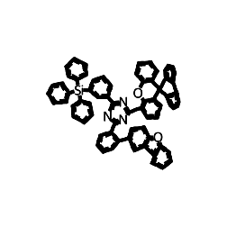 c1ccc([Si](c2ccccc2)(c2ccccc2)c2cccc(-c3nc(-c4ccccc4-c4ccc5oc6ccccc6c5c4)nc(-c4cccc5c4Oc4ccccc4C54c5ccccc5-c5ccccc54)n3)c2)cc1